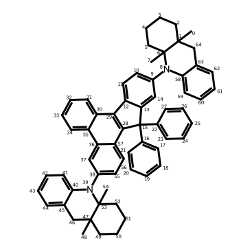 CC12CCCCC1(C)N(c1ccc3c(c1)C(c1ccccc1)(c1ccccc1)c1c-3c3ccccc3c3cc(N4c5ccccc5CC5(C)CCCCC45C)ccc13)c1ccccc1C2